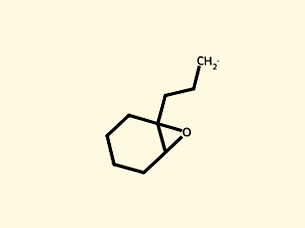 [CH2]CCC12CCCCC1O2